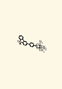 CC1(C)OB(c2ccc(-c3ccc4c(c3)-c3ccccc3S4(=O)=O)cc2)OC1(C)C